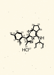 CCC(CC)Nc1c2c(nc3c(-c4ccc(C)cc4F)c(C)nn13)CCC2.Cl